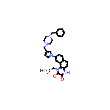 O=C(O)Cn1c(=O)c(=O)[nH]c2ccc3ccc(-n4ccc(CN5CCN(Cc6ccccc6)CC5)c4)cc3c21